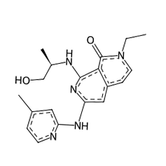 CCn1ccc2cc(Nc3cc(C)ccn3)nc(N[C@H](C)CO)c2c1=O